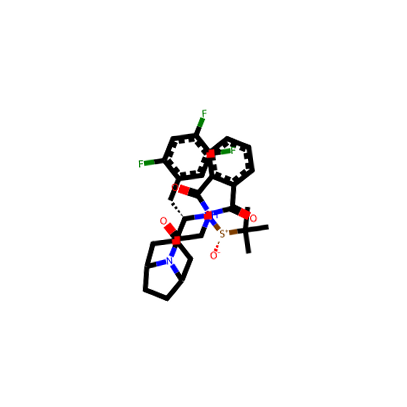 CC(C)(C)[S@+]([O-])N[C@@H](Cc1cc(F)c(F)cc1F)C1CC2CCC(C1)N2C(=O)CN1C(=O)c2ccccc2C1=O